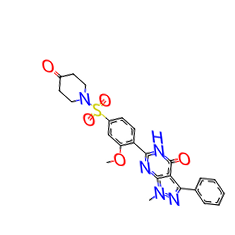 COc1cc(S(=O)(=O)N2CCC(=O)CC2)ccc1-c1nc2c(c(-c3ccccc3)nn2C)c(=O)[nH]1